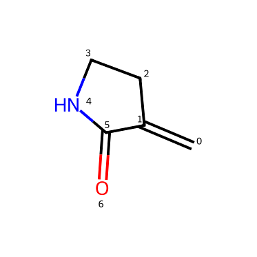 C=C1CCNC1=O